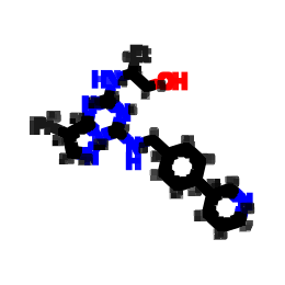 CCC(CO)Nc1nc(NCc2ccc(-c3cccnc3)cc2)n2ncc(C(C)C)c2n1